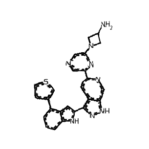 NC1CN(c2cncc(-c3cc4c(-c5cc6c(-c7ccsc7)cccc6[nH]5)n[nH]c4cn3)n2)C1